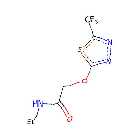 CCNC(=O)COc1nnc(C(F)(F)F)s1